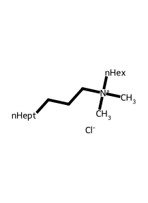 CCCCCCCCCC[N+](C)(C)CCCCCC.[Cl-]